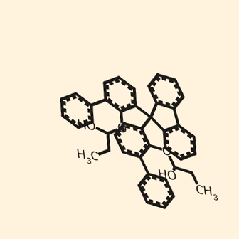 CCC(O)Oc1c(-c2ccccc2)cccc1C1(c2cccc(-c3ccccc3)c2OC(O)CC)c2ccccc2-c2ccccc21